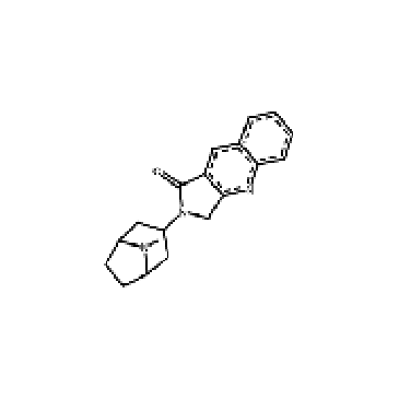 CN1C2CCC1CC(N1Cc3nc4ccccc4cc3C1=O)C2